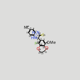 COc1cc(C(Nc2ccc(C#N)cc2)C(N)=S)c(F)c2c1OCCCO2